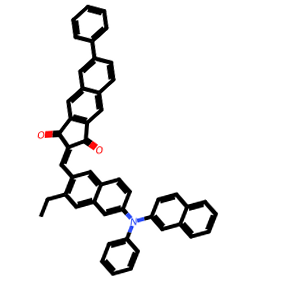 CCc1cc2cc(N(c3ccccc3)c3ccc4ccccc4c3)ccc2cc1C=C1C(=O)c2cc3ccc(-c4ccccc4)cc3cc2C1=O